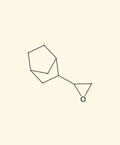 [CH]1CC2CC1C(C1CO1)C2